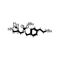 CC(C)(C)CCc1ccc(CN(CC2CNNN2)C(=O)OC(C)(C)C)cc1